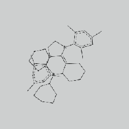 Cc1cc(C)c(N2CCN(c3c(C)cc(C)cc3C)C2=C2CCCCC2P(C2CCCCC2)C2CCCCC2)c(C)c1